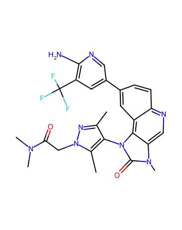 Cc1nn(CC(=O)N(C)C)c(C)c1-n1c(=O)n(C)c2cnc3ccc(-c4cnc(N)c(C(F)(F)F)c4)cc3c21